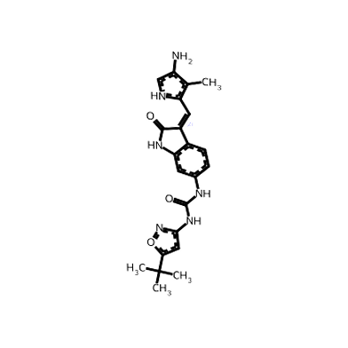 Cc1c(N)c[nH]c1/C=C1\C(=O)Nc2cc(NC(=O)Nc3cc(C(C)(C)C)on3)ccc21